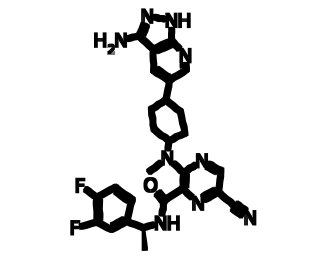 C[C@H](NC(=O)c1nc(C#N)cnc1N(C)C1CCC(c2cnc3[nH]nc(N)c3c2)CC1)c1ccc(F)c(F)c1